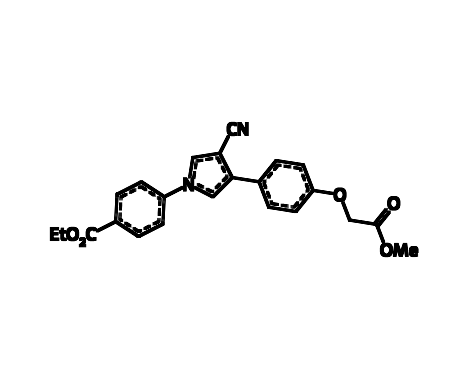 CCOC(=O)c1ccc(-n2cc(C#N)c(-c3ccc(OCC(=O)OC)cc3)c2)cc1